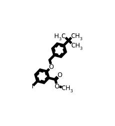 COC(=O)c1cc(I)ccc1OCc1ccc(C(C)(C)C)cc1